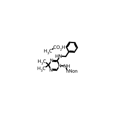 CC(=O)O.CCCCCCCCCNN1C=NC(C)(C)N=C1NCc1ccccc1